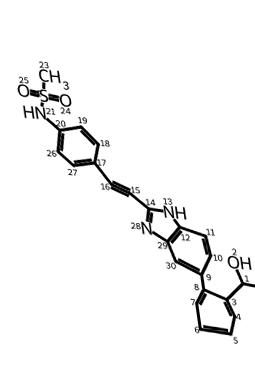 CC(O)c1ccccc1-c1ccc2[nH]c(C#Cc3ccc(NS(C)(=O)=O)cc3)nc2c1